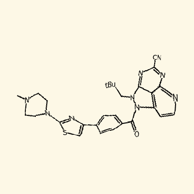 CN1CCN(c2nc(-c3ccc(C(=O)N4c5ccnc6nc(C#N)nc(c56)N4CC(C)(C)C)cc3)cs2)CC1